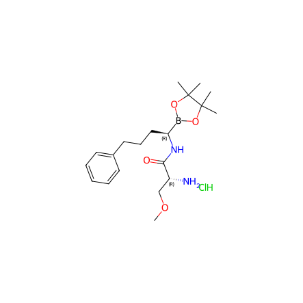 COC[C@@H](N)C(=O)N[C@@H](CCCc1ccccc1)B1OC(C)(C)C(C)(C)O1.Cl